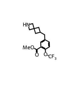 COC(=O)c1cc(CC2CC3(CNC3)C2)ccc1OC(F)(F)F